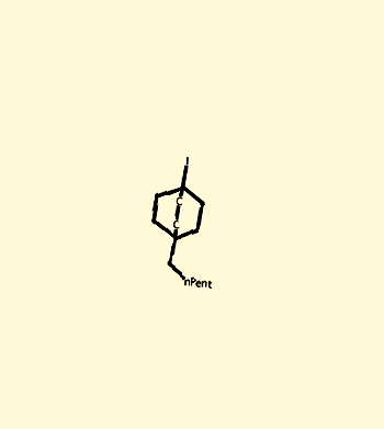 CCCCCCC12CCC(I)(CC1)CC2